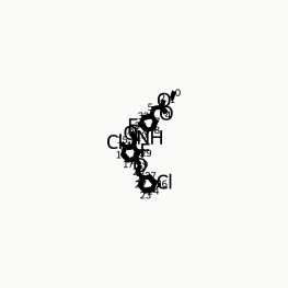 CCOC(=O)Cc1ccc(NC(=O)c2c(Cl)ccc(OCc3cccc(Cl)c3)c2F)c(F)c1